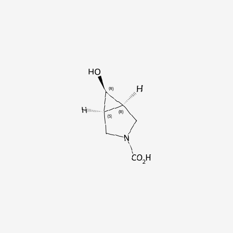 O=C(O)N1C[C@@H]2[C@H](O)[C@@H]2C1